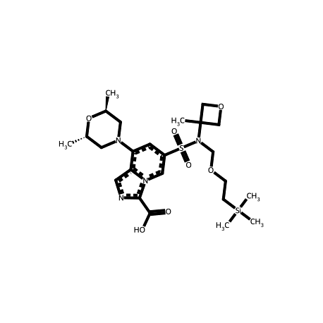 C[C@H]1CN(c2cc(S(=O)(=O)N(COCC[Si](C)(C)C)C3(C)COC3)cn3c(C(=O)O)ncc23)C[C@H](C)O1